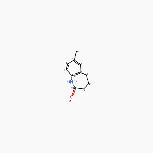 Cc1ccc2c(c1)CCCC(=O)N2